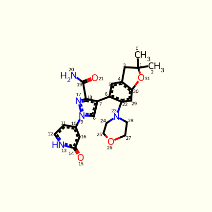 CC1(C)Cc2cc(-c3cn(-c4cc[nH]c(=O)c4)nc3C(N)=O)c(N3CCOCC3)cc2O1